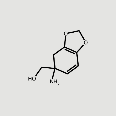 NC1(CO)C=CC2=C(C1)OCO2